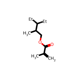 C=C(C)C(=O)OCC(C)C(CC)CC